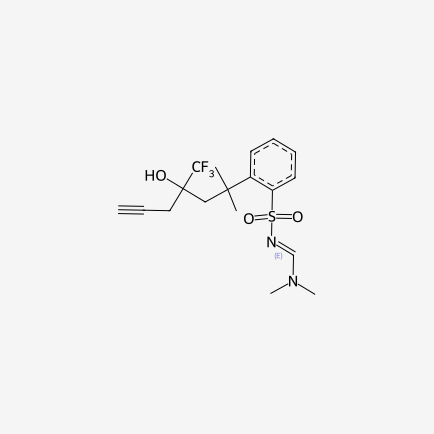 C#CCC(O)(CC(C)(C)c1ccccc1S(=O)(=O)/N=C/N(C)C)C(F)(F)F